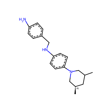 CC1C[C@@H](C)CN(c2ccc(NCc3ccc(N)cc3)cc2)C1